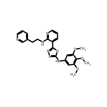 COc1cc(Nc2nnc(-c3cccnc3NCCc3cccnc3)o2)cc(OC)c1OC